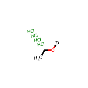 CC[O][Ti].Cl.Cl.Cl.Cl